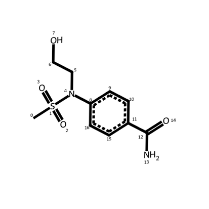 CS(=O)(=O)N(CCO)c1ccc(C(N)=O)cc1